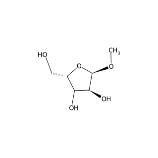 CO[C@@H]1O[C@@H](CO)C(O)[C@@H]1O